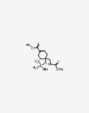 COC(=O)NCC1(O[Si](C)(C)C(C)(C)C)CCN(C(=O)OC(C)(C)C)CC1